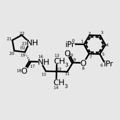 CC(C)c1cccc(C(C)C)c1OC(=O)CC(C)(C)CNC(=O)[C@@H]1CCCN1